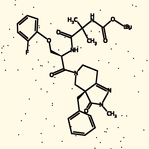 CN1N=C2CCN(C(=O)[C@@H](COc3ccccc3F)NC(=O)C(C)(C)NC(=O)OC(C)(C)C)C[C@@]2(Cc2ccccc2)C1=O